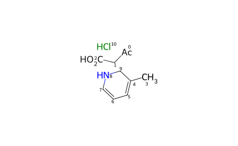 CC(=O)CC(=O)O.CC1=CC=CNC1.Cl